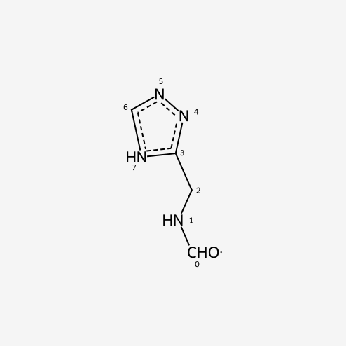 O=[C]NCc1nnc[nH]1